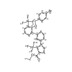 CCOC(=O)c1cnn(-c2cccc(-c3cccc(C(F)(F)F)c3OCc3ccc(Br)cc3)n2)c1C(F)(F)F